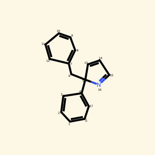 [c]1cccc(C2(Cc3ccccc3)C=CC=N2)c1